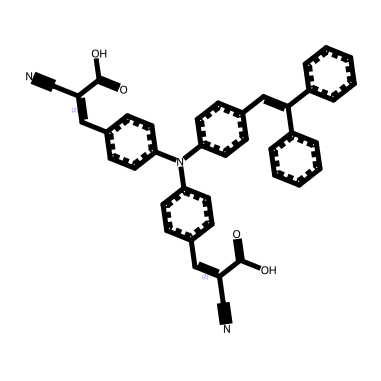 N#C/C(=C/c1ccc(N(c2ccc(C=C(c3ccccc3)c3ccccc3)cc2)c2ccc(/C=C(/C#N)C(=O)O)cc2)cc1)C(=O)O